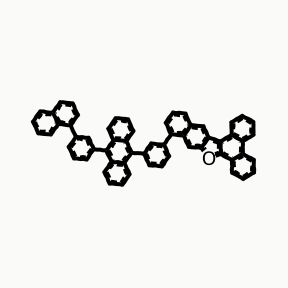 c1cc(-c2cccc3ccccc23)cc(-c2c3ccccc3c(-c3cccc(-c4cccc5cc6c(cc45)oc4c5ccccc5c5ccccc5c64)c3)c3ccccc23)c1